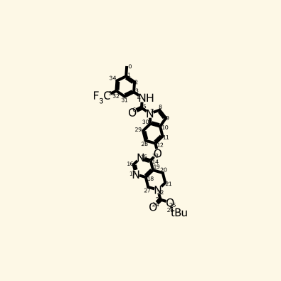 Cc1cc(NC(=O)n2ccc3cc(Oc4ncnc5c4CCN(C(=O)OC(C)(C)C)C5)ccc32)cc(C(F)(F)F)c1